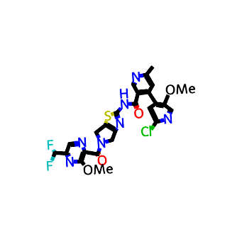 COc1cnc(Cl)cc1-c1cc(C)ncc1C(=O)Nc1nc2c(s1)CN(C(=O)c1ncc(C(F)F)nc1OC)C2